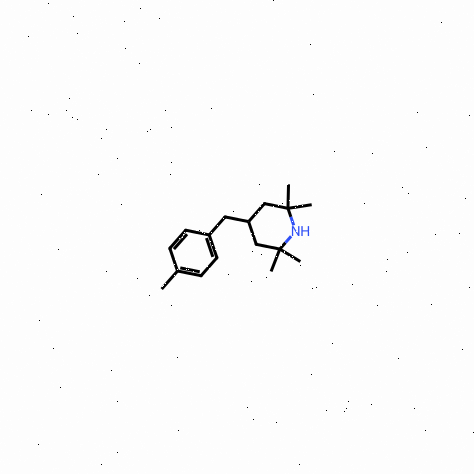 Cc1ccc(CC2CC(C)(C)NC(C)(C)C2)cc1